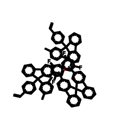 C=Cc1ccc(C2(c3cc(C)ccc3C)c3ccccc3-c3ccc(N(c4cc(F)cc(F)c4)c4ccc5c(c4)C4(c6ccccc6-5)c5ccccc5-c5ccc(N(c6cc(F)cc(F)c6)c6ccc7c(c6)C(c6ccc(C=C)cc6)(c6cc(C)ccc6C)c6ccccc6-7)cc54)cc32)cc1